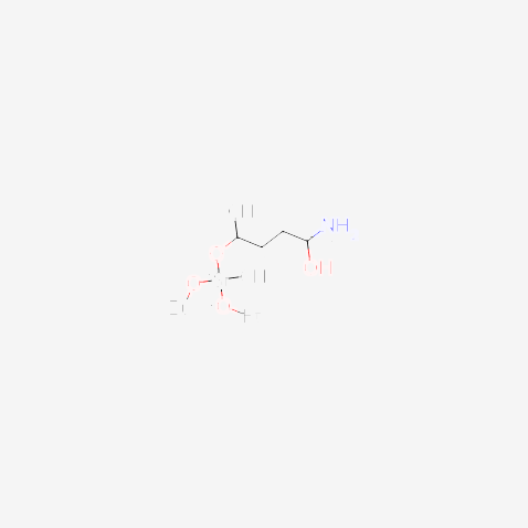 CCO[Si](C)(OCC)OC(C)CCC(N)O